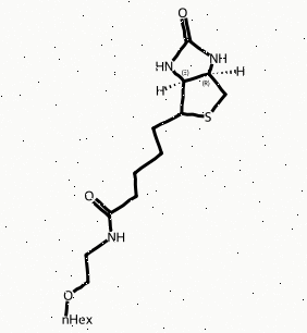 CCCCCCOCCNC(=O)CCCCC1SC[C@@H]2NC(=O)N[C@H]12